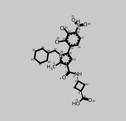 Cc1c(C(=O)N[C@H]2C[C@H](C(=O)O)C2)cc(-c2ccc([SH](=O)=O)c(Cl)c2Cl)n1CC1CCCCC1